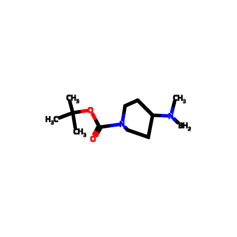 BN(C)C1CCN(C(=O)OC(C)(C)C)CC1